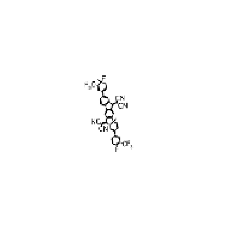 CC1(F)CC=C(c2ccc3c(c2)C(=C(C#N)C#N)c2cc4c(cc2-3)C(=C(C#N)C#N)C2C=C(c3ccc(F)c(C(F)(F)F)c3)C=CC42C)C=C1C(F)(F)F